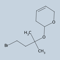 CC(C)(CCBr)OC1CC=CCO1